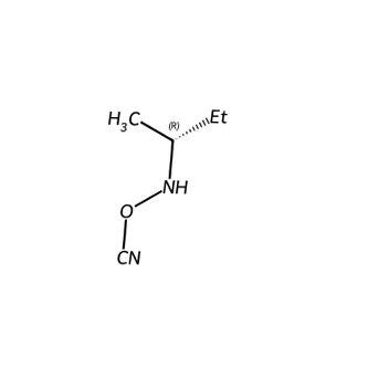 CC[C@@H](C)NOC#N